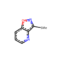 CSc1noc2cccnc12